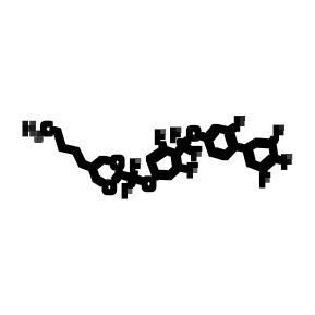 CCCCCC1COC(C(F)(F)Oc2cc(F)c(C(F)(F)Oc3ccc(-c4cc(F)c(F)c(F)c4)c(F)c3)c(F)c2)OC1